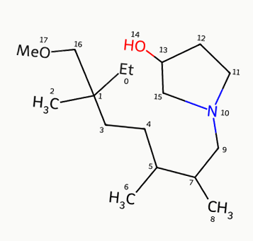 CCC(C)(CCC(C)C(C)CN1CCC(O)C1)COC